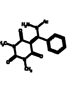 CC(=O)N(N)C(=C1C(=O)N(C)C(=O)N(C)C1=O)c1ccccc1